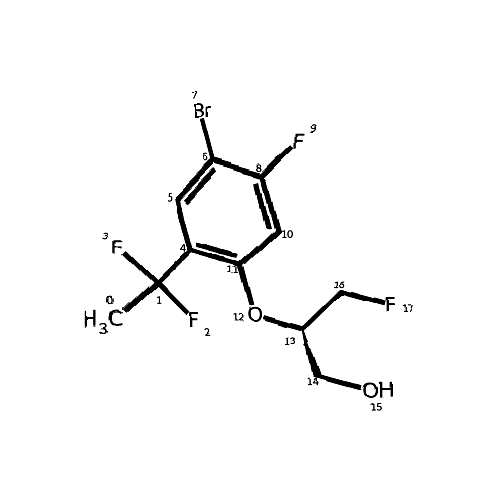 CC(F)(F)c1cc(Br)c(F)cc1O[C@H](CO)CF